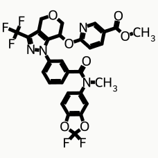 COC(=O)c1ccc(OC2COCc3c(C(F)(F)F)nn(-c4cccc(C(=O)N(C)c5ccc6c(c5)OC(F)(F)O6)c4)c32)nc1